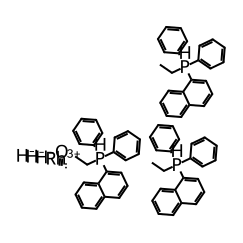 CC[PH](c1ccccc1)(c1ccccc1)c1cccc2ccccc12.CC[PH](c1ccccc1)(c1ccccc1)c1cccc2ccccc12.CC[PH](c1ccccc1)(c1ccccc1)c1cccc2ccccc12.[C]=O.[H-].[H-].[H-].[Rh+3]